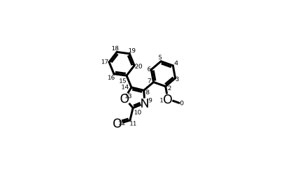 COc1ccccc1-c1nc(C=O)oc1-c1ccccc1